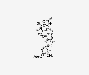 COc1ncc(N2CCc3ncnc(OC4CCN(C(=O)c5oc(C)nc5C)C4)c3C2)cc1C